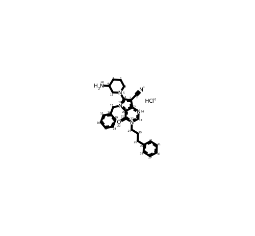 Cl.N#Cc1c(N2CCCC(N)C2)n(Cc2ccccc2)c2c(=O)n(CCCc3ccccc3)cnc12